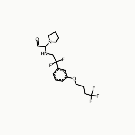 O=CC(NCC(F)(F)c1cccc(OCCCC(F)(F)F)c1)N1CCCC1